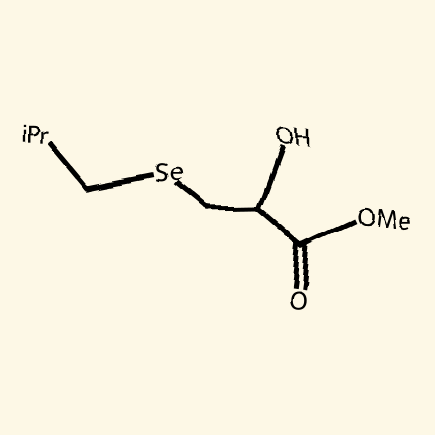 COC(=O)C(O)C[Se]CC(C)C